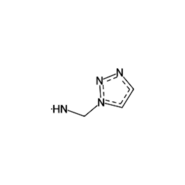 [NH]Cn1ccnn1